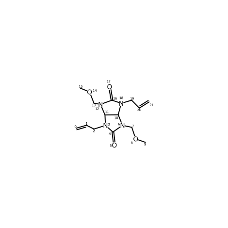 C=CCN1C(=O)N(COC)C2C1N(COC)C(=O)N2CC=C